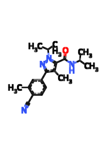 Cc1cc(-c2nn(C(C)C)c(C(=O)NC(C)C)c2C)ccc1C#N